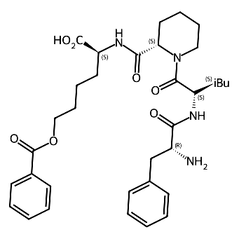 CC[C@H](C)[C@H](NC(=O)[C@H](N)Cc1ccccc1)C(=O)N1CCCC[C@H]1C(=O)N[C@@H](CCCCOC(=O)c1ccccc1)C(=O)O